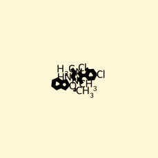 CCO[C@H]1Cc2ccccc2[C@H]1Nc1nc(C)c(-c2ccc(Cl)cc2Cl)nc1C